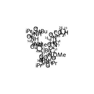 CC[C@H](C)C([C@@H](CC(=O)N1CCCC1[C@H](OC)[C@@H](C)C(=O)N[C@@H](Cc1ccccc1)C(=O)O)OC)N(C)C(=O)[C@@H](NC(=O)[C@H](C(C)C)N(C)C(=O)OCc1ccc(NC(=O)[C@H](C)NC(=O)[C@@H](NC(=O)C(C)(C)C)C(C)C)cc1)C(C)C